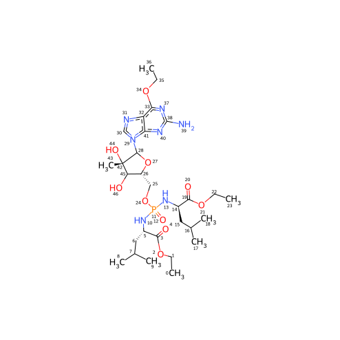 CCOC(=O)[C@H](CC(C)C)NP(=O)(N[C@H](CC(C)C)C(=O)OCC)OC[C@H]1OC(n2cnc3c(OCC)nc(N)nc32)[C@@](C)(O)C1O